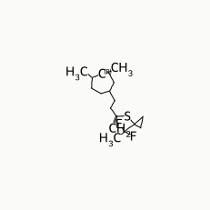 C=C(CCC1CCC(C)C[C@@H](C)C1)SC1(C(C)(F)F)CC1